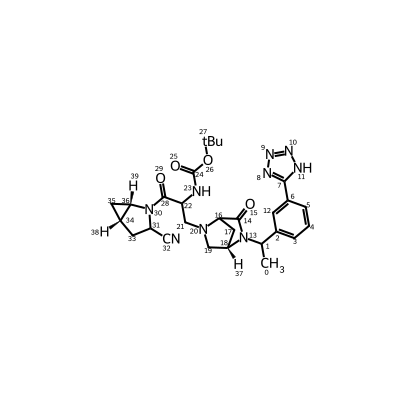 CC(c1cccc(-c2nnn[nH]2)c1)N1C(=O)C2C[C@H]1CN2CC(NC(=O)OC(C)(C)C)C(=O)N1C(C#N)C[C@@H]2C[C@@H]21